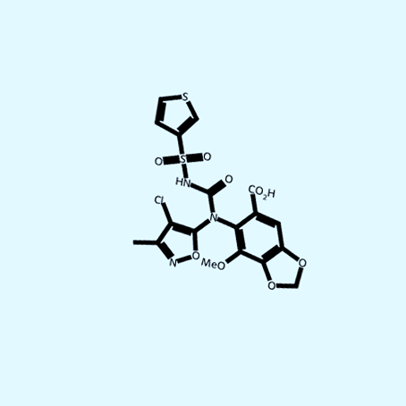 COc1c2c(cc(C(=O)O)c1N(C(=O)NS(=O)(=O)c1ccsc1)c1onc(C)c1Cl)OCO2